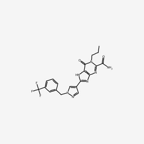 CCCn1c(C(N)=O)nc2nc(-c3cnn(Cc4cccc(C(F)(F)F)c4)c3)[nH]c2c1=O